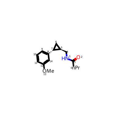 CCCC(=O)NC[C@@H]1C[C@H]1c1cccc(OC)c1